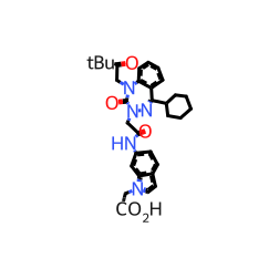 CC(C)(C)C(=O)CN1C(=O)N(CC(=O)Nc2ccc3ccn(CC(=O)O)c3c2)N=C(C2CCCCC2)c2ccccc21